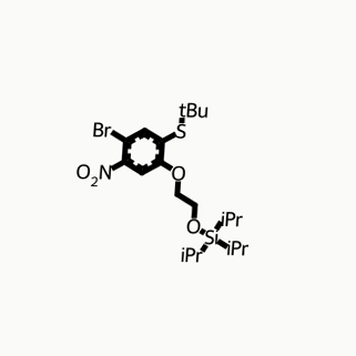 CC(C)[Si](OCCOc1cc([N+](=O)[O-])c(Br)cc1SC(C)(C)C)(C(C)C)C(C)C